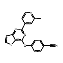 Cc1cc(-c2nc(Oc3ccc(C#N)cc3)c3sccc3n2)ccn1